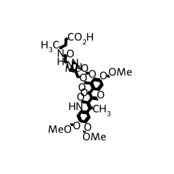 COCOc1cc2[nH]c(=O)c(-c3coc4cc(OCOC)c(OCOC)c(C(=O)OCc5cn(CC(=O)N[C@H](C)CCC(=O)O)nn5)c4c3=O)c(C)c2cc1OCOC